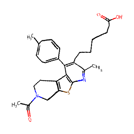 CC(=O)N1CCc2c(sc3nc(C)c(CCCCC(=O)O)c(-c4ccc(C)cc4)c23)C1